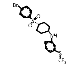 O=S(=O)(c1ccc(Br)cc1)[C@H]1CC[C@H](Nc2cccc(SC(F)(F)F)c2)CC1